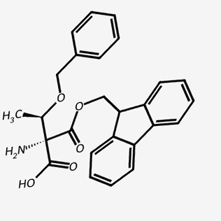 C[C@@H](OCc1ccccc1)[C@](N)(C(=O)O)C(=O)OCC1c2ccccc2-c2ccccc21